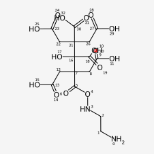 NCCNOC(=O)C(CC(=O)O)(CC(=O)O)C(O)(C(=O)O)C(CC(=O)O)(CC(=O)O)C(=O)O